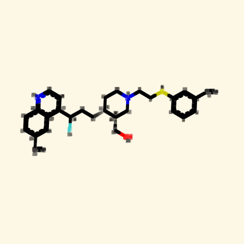 COc1cccc(SCCN2CC[C@@H](CCC(F)c3ccnc4ccc(OC)cc34)[C@@H](CO)C2)c1